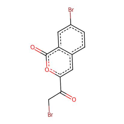 O=C(CBr)c1cc2ccc(Br)cc2c(=O)o1